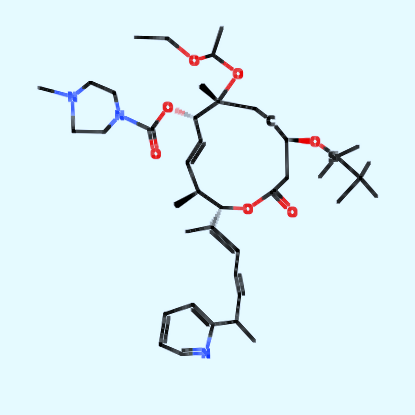 CCOC(C)O[C@]1(C)CC[C@@H](O[Si](C)(C)C(C)(C)C)CC(=O)O[C@H](/C(C)=C/C=C/C(C)c2ccccn2)[C@@H](C)/C=C/[C@@H]1OC(=O)N1CCN(C)CC1